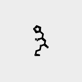 COCCOC(=O)C=C(N)Cn1ccnc1